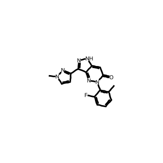 Cc1cccc(F)c1-n1nc2c(-c3ccn(C)n3)n[nH]c2cc1=O